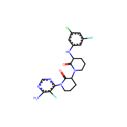 Nc1ncnc(N2CCCC(N3CCCC(Nc4cc(F)cc(Cl)c4)C3=O)C2=O)c1F